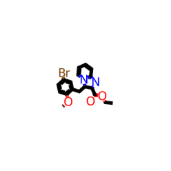 CCOC(=O)C1N=C2C=CC=CN2C1Cc1cc(Br)ccc1OC